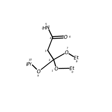 CCOC(CC([NH])=O)(OCC)OC(C)C